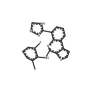 Cc1cccc(F)c1Nc1nc2c(-c3nnc[nH]3)cccc2c2ccsc12